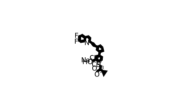 CC(C)(O)c1cc(-c2cccc(C#Cc3ccc4cc(F)c(F)cc4n3)c2)ccc1SCC(C(=O)[O-])C1CC1.[Na+]